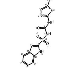 O=C(Nc1ncc(Br)s1)NS(=O)(=O)c1cc2ccccc2[nH]1